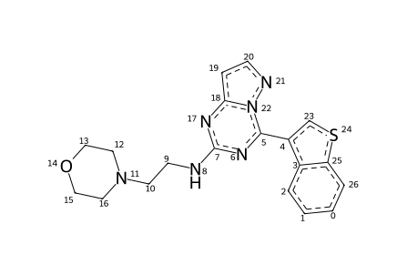 c1ccc2c(-c3nc(NCCN4CCOCC4)nc4ccnn34)csc2c1